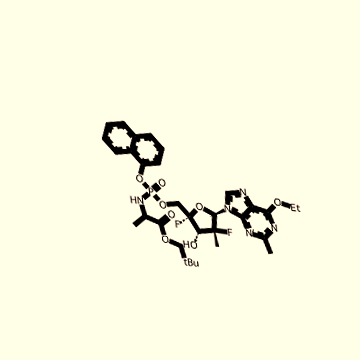 CCOc1nc(C)nc2c1ncn2[C@@H]1O[C@](F)(COP(=O)(NC(C)C(=O)OCC(C)(C)C)Oc2cccc3ccccc23)[C@@H](O)[C@@]1(C)F